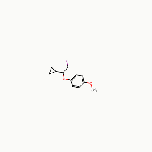 COc1ccc(OC(CI)C2CC2)cc1